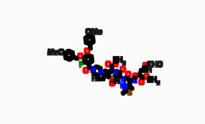 BOC(=O)C1=C(C[N@+]23CCC[C@H]2CN(C(=O)c2ccc(OCc4ccc(OC)cc4)c(OCc4ccc(OC)cc4)c2F)CC3)C[S+]([O-])[C@@H]2[C@H](NC(=O)/C(=N\O[C@@H](CBOC=O)C(=O)OB)c3csc(C)n3)C(=O)N12